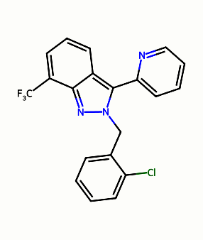 FC(F)(F)c1cccc2c(-c3ccccn3)n(Cc3ccccc3Cl)nc12